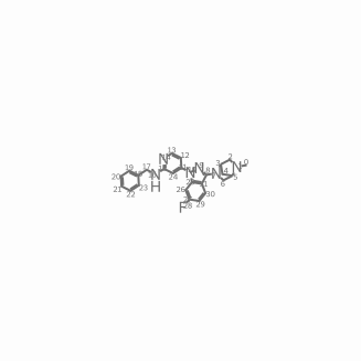 CN1CC2CC1CN2c1nn(-c2ccnc(NCc3ccccc3)c2)c2cc(F)ccc12